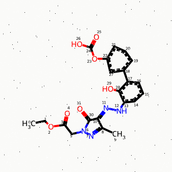 CCOC(=O)CN1N=C(C)C(=NNc2cccc(-c3cccc(OC(=O)O)c3)c2O)C1=O